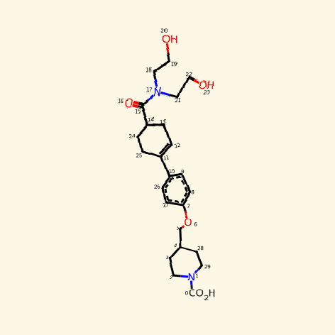 O=C(O)N1CCC(COc2ccc(C3=CCC(C(=O)N(CCO)CCO)CC3)cc2)CC1